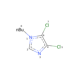 CCCCn1cnc(Cl)c1Cl